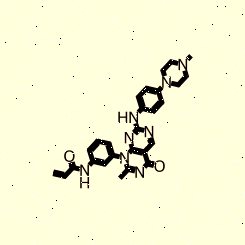 C=CC(=O)Nc1cccc(-n2c(C)nc(=O)c3cnc(Nc4ccc(N5CCN(C)CC5)cc4)nc32)c1